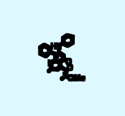 CON(C)C(=O)c1cc(C)nc2c1c(=O)cc(Nc1ccccc1)n2-c1ccccc1